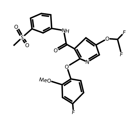 COc1cc(F)ccc1Oc1ncc(OC(F)F)cc1C(=O)Nc1cccc(S(C)(=O)=O)c1